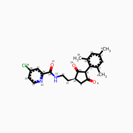 Cc1cc(C)c(C2C(=O)C[C@@H](CCNC(=O)c3cc(Cl)ccn3)C2=O)c(C)c1